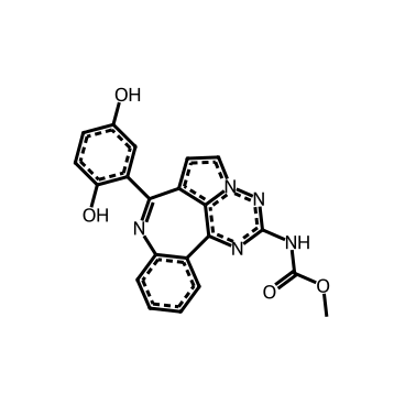 COC(=O)Nc1nc2c3c(ccn3n1)C(c1cc(O)ccc1O)=Nc1ccccc1-2